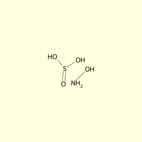 NO.O=S(O)O